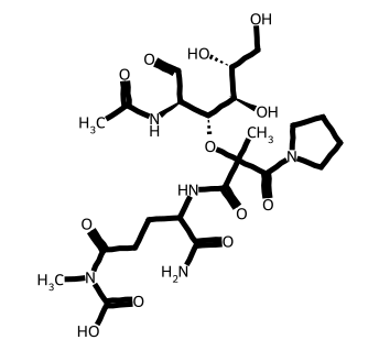 CC(=O)N[C@@H](C=O)[C@@H](OC(C)(C(=O)NC(CCC(=O)N(C)C(=O)O)C(N)=O)C(=O)N1CCCC1)[C@H](O)[C@H](O)CO